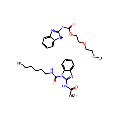 CCOCCOCCOC(=O)Nc1nc2ccccc2[nH]1.COC(=O)Nc1nc2ccccc2n1C(=O)NCCCCCC#N